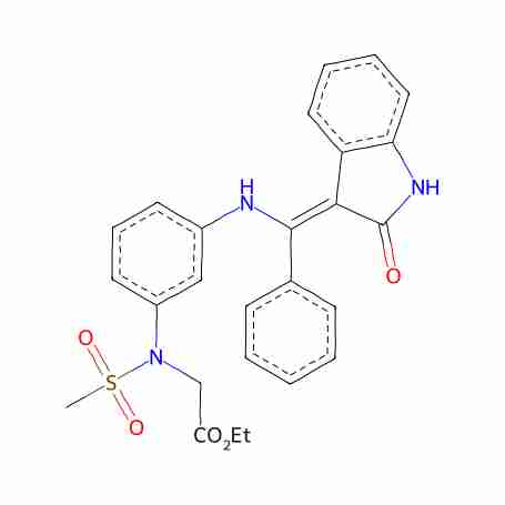 CCOC(=O)CN(c1cccc(NC(=C2C(=O)Nc3ccccc32)c2ccccc2)c1)S(C)(=O)=O